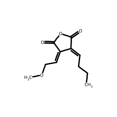 CCCC=C1C(=O)OC(=O)C1=CCOC